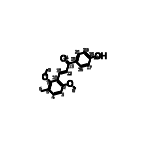 COc1ccc(C)c(OC)c1/C=C/C(=O)c1ccc(O)cc1